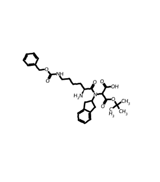 CC(C)(C)OC(=O)C(C(=O)O)N(C(=O)[C@@H](N)CCCCNC(=O)OCc1ccccc1)C1Cc2ccccc2C1